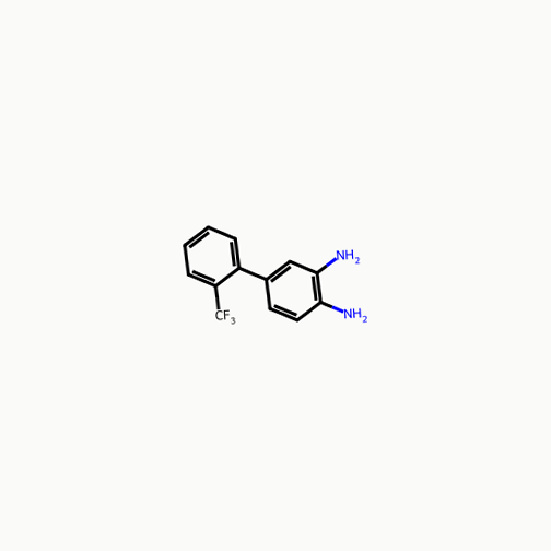 Nc1ccc(-c2ccccc2C(F)(F)F)cc1N